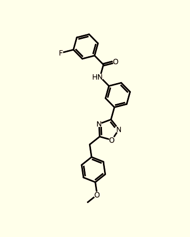 COc1ccc(Cc2nc(-c3cccc(NC(=O)c4cccc(F)c4)c3)no2)cc1